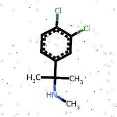 CNC(C)(C)c1ccc(Cl)c(Cl)c1